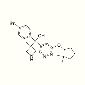 CC(C)c1ccc(C(O)(c2cnnc(OC3CCCC3(C)C)c2)C2(C)CNC2)cc1